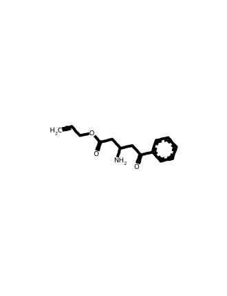 C=CCOC(=O)CC(N)CC(=O)c1ccccc1